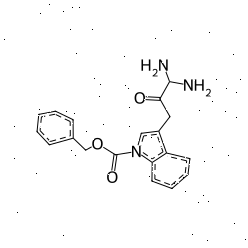 NC(N)C(=O)Cc1cn(C(=O)OCc2ccccc2)c2ccccc12